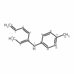 C=C/C=C\C(=C/C)Nc1ccc(C)nc1